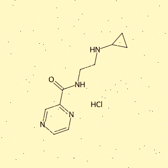 Cl.O=C(NCCNC1CC1)c1cnccn1